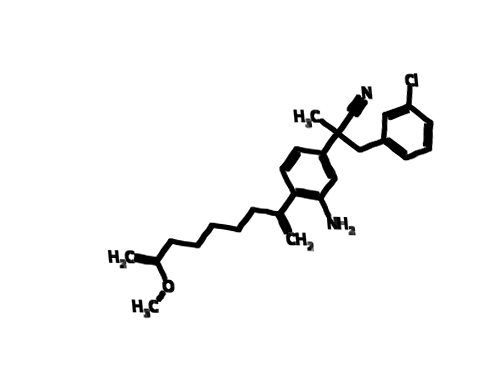 C=C(CCCCCC(=C)c1ccc(C(C)(C#N)Cc2cccc(Cl)c2)cc1N)OC